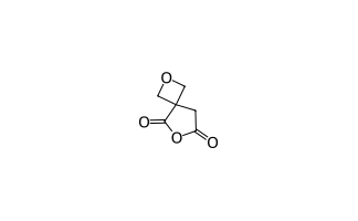 O=C1CC2(COC2)C(=O)O1